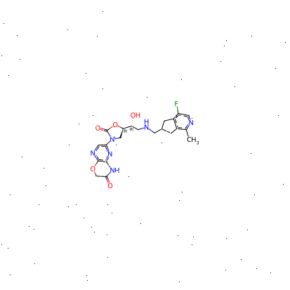 Cc1ncc(F)c2c1CC(CNC[C@@H](O)[C@H]1CN(c3cnc4c(n3)NC(=O)CO4)C(=O)O1)C2